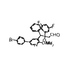 COc1ncc(-c2ccc(Br)cc2)cc1C(c1ccccc1)C(CC=O)(ON)c1cc(F)cc(F)c1